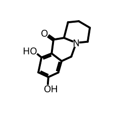 O=C1c2c(O)cc(O)cc2CN2CCCCC12